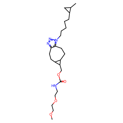 COCCOCCNC(=O)OCC1C2CCc3nnn(CCCCCC4CC4C)c3CCC21